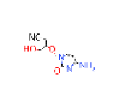 N#CCC(CO)OCn1ccc(N)nc1=O